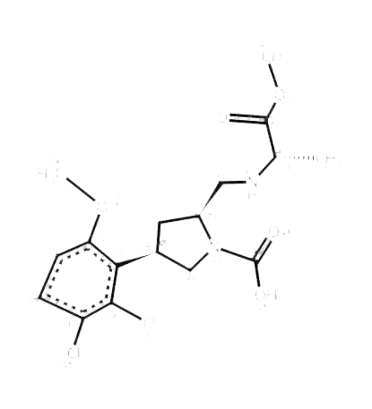 COC(=O)[C@H](C)NC[C@@H]1C[C@H](c2c(OC)ccc(Cl)c2Cl)CN1C(=O)O